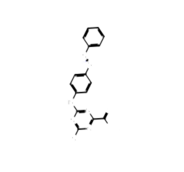 C=C(C)c1nc(N)nc(Nc2ccc(/N=N/c3ccccc3)cc2)n1